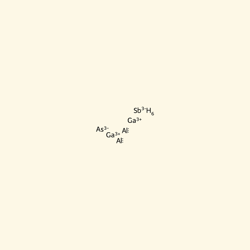 [Al].[Al].[As-3].[Ga+3].[Ga+3].[SbH6-3]